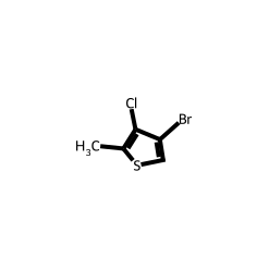 Cc1scc(Br)c1Cl